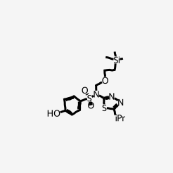 CC(C)c1nnc(N(COCC[Si](C)(C)C)S(=O)(=O)c2ccc(O)cc2)s1